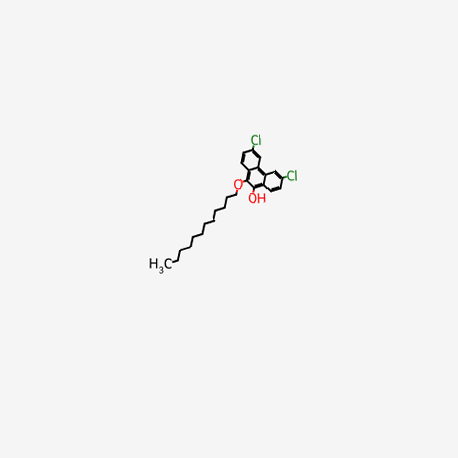 CCCCCCCCCCCCOc1c(O)c2ccc(Cl)cc2c2cc(Cl)ccc12